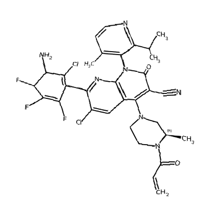 C=CC(=O)N1CCN(c2c(C#N)c(=O)n(-c3c(C)ccnc3C(C)C)c3nc(C4=C(Cl)C(N)C(F)C(F)=C4F)c(Cl)cc23)C[C@H]1C